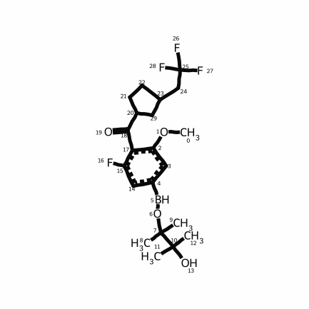 COc1cc(BOC(C)(C)C(C)(C)O)cc(F)c1C(=O)C1CCC(CC(F)(F)F)C1